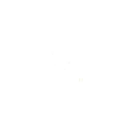 SC1=CC2CCC1C2